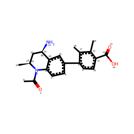 CC(=O)N1c2ccc(-c3ccc(C(=O)O)c(C)c3C)cc2[C@H](N)C[C@@H]1C